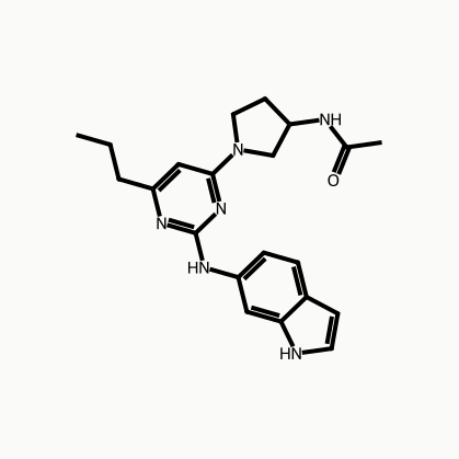 CCCc1cc(N2CCC(NC(C)=O)C2)nc(Nc2ccc3cc[nH]c3c2)n1